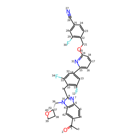 CC(=O)c1ccc2nc(Cc3c(F)cc(-c4cccc(OCc5ccc(C#N)cc5F)n4)cc3F)n(C[C@@H]3CCO3)c2c1